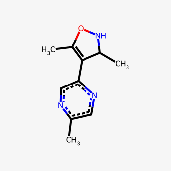 CC1=C(c2cnc(C)cn2)C(C)NO1